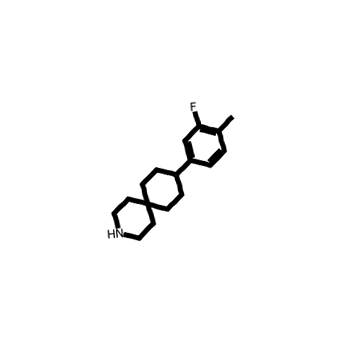 Cc1ccc(C2CCC3(CCNCC3)CC2)cc1F